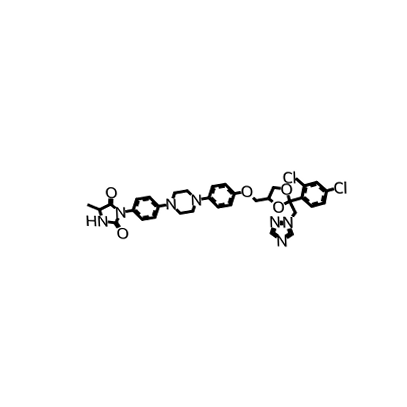 CC1NC(=O)N(c2ccc(N3CCN(c4ccc(OCC5COC(Cn6cncn6)(c6ccc(Cl)cc6Cl)O5)cc4)CC3)cc2)C1=O